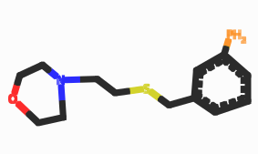 Pc1cccc(CSCCN2CCOCC2)c1